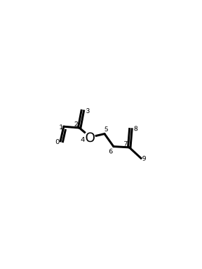 C=CC(=C)OCCC(=C)C